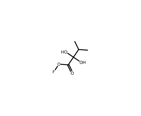 CC(C)C(O)(O)C(=O)OF